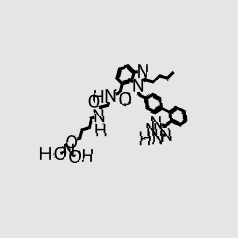 CCCCc1nc2cccc(C(=O)NCC(=O)NCCCCON(O)O)c2n1Cc1ccc(-c2ccccc2-c2nn[nH]n2)cc1